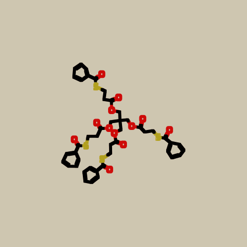 O=C(CCSC(=O)c1ccccc1)OCC(COC(=O)CCSC(=O)c1ccccc1)(COC(=O)CCSC(=O)c1ccccc1)COC(=O)CCSC(=O)c1ccccc1